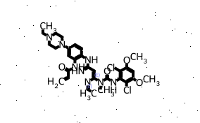 C=CC(=O)Nc1cc(N2CCN(CC)CC2)ccc1NC(=N)/C=C(\N=C/C)N(C)C(=O)Nc1c(Cl)c(OC)cc(OC)c1Cl